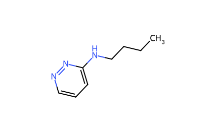 CCCCNc1cccnn1